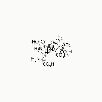 CCC(C)C(N)C(=O)O.NC(=O)CC(N)C(=O)O.NC(CO)C(=O)O.NCC(=O)O